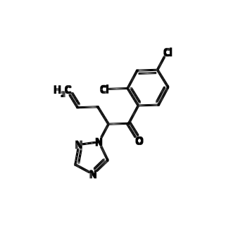 C=CCC(C(=O)c1ccc(Cl)cc1Cl)n1cncn1